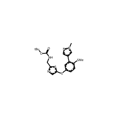 CSc1ccc(Sc2cnc(CNC(=O)OC(C)(C)C)s2)cc1-c1cnn(C)c1